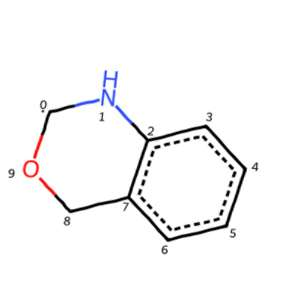 [CH]1Nc2ccccc2CO1